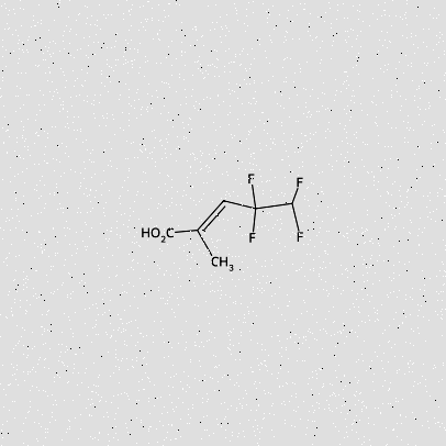 CC(=CC(F)(F)C(F)F)C(=O)O